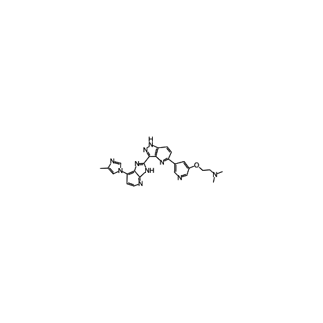 Cc1cn(-c2ccnc3[nH]c(-c4n[nH]c5ccc(-c6cncc(OCCN(C)C)c6)nc45)nc23)cn1